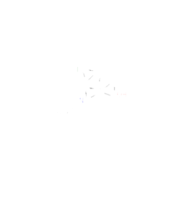 O=CC1CCN(c2ccc([C@H]3c4ccc(O)cc4CO[C@H]3c3ccc(F)cc3)cc2)CC1